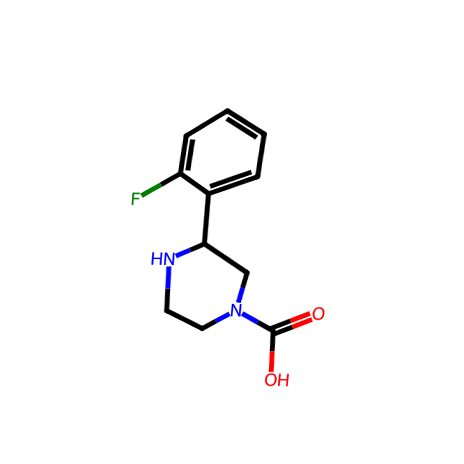 O=C(O)N1CCNC(c2ccccc2F)C1